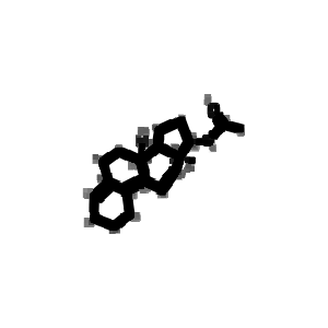 CC(=O)O[C@H]1CCC2[C@@H]3CCC4=CCCCC4=C3C=C[C@@]21C